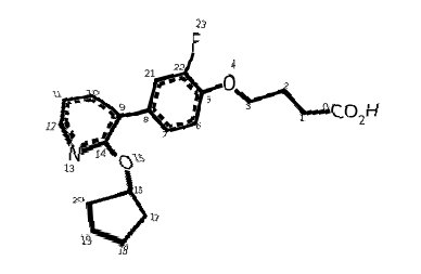 O=C(O)CCCOc1ccc(-c2cccnc2OC2CCCC2)cc1F